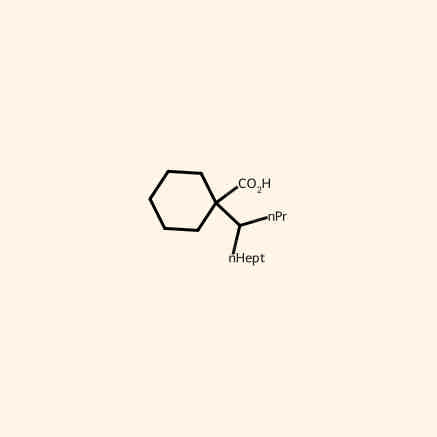 CCCCCCCC(CCC)C1(C(=O)O)CCCCC1